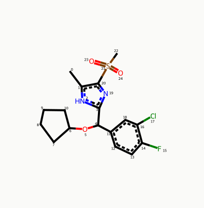 Cc1[nH]c(C(OC2CCCC2)c2ccc(F)c(Cl)c2)nc1S(C)(=O)=O